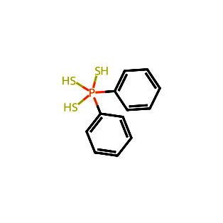 SP(S)(S)(c1ccccc1)c1ccccc1